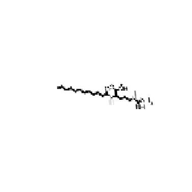 CCCCCCCCCCCC(=O)NC(CCCNC(=N)N)C(=O)NC